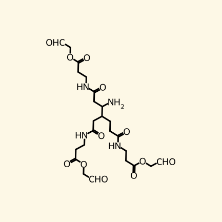 NC(CC(=O)NCCC(=O)OCC=O)C(CCC(=O)NCCC(=O)OCC=O)CC(=O)NCCC(=O)OCC=O